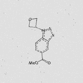 COC(=O)c1ccc2c(c1)nnn2C1COC1